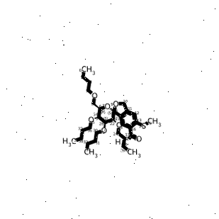 CCCCOC[C@H]1O[C@]2(OCc3cc(SC)c(C(C)=O)cc32)[C@H](OCCCC)[C@@H](OCCCC)[C@@H]1OCCCC